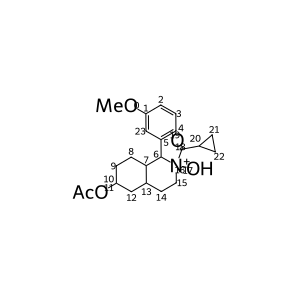 COc1cccc(C2C3CCC(OC(C)=O)CC3CC[N+]2(O)C(=O)C2CC2)c1